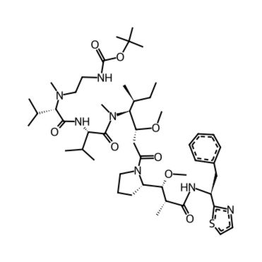 CC[C@H](C)[C@@H]([C@@H](CC(=O)N1CCC[C@H]1[C@H](OC)[C@@H](C)C(=O)N[C@@H](Cc1ccccc1)c1nccs1)OC)N(C)C(=O)[C@@H](NC(=O)[C@H](C(C)C)N(C)CCNC(=O)OC(C)(C)C)C(C)C